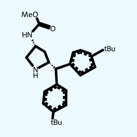 COC(=O)N[C@H]1CN[C@@H](C(c2ccc(C(C)(C)C)cc2)c2ccc(C(C)(C)C)cc2)C1